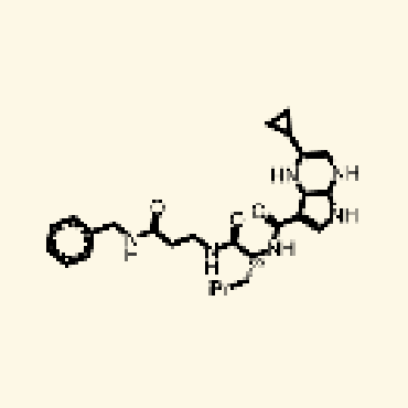 CC(C)C[C@@H](NC(=O)C1=CNC2NC=C(C3CC3)NC12)C(=O)NCCC(=O)NCc1ccccc1